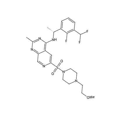 COCCN1CCN(S(=O)(=O)c2cc3c(N[C@H](C)c4cccc(C(F)F)c4F)nc(C)nc3cn2)CC1